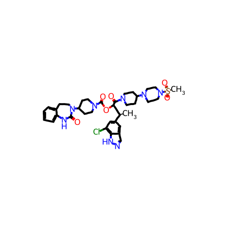 C[C@H](c1cc(Cl)c2[nH]ncc2c1)C(OC(=O)N1CCC(N2CCc3ccccc3NC2=O)CC1)C(=O)N1CCC(N2CCN(S(C)(=O)=O)CC2)CC1